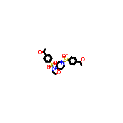 CC(=O)c1ccc([S+]([O-])N2CCC3(CC2)OCCN3S(=O)(=O)c2ccc(C(C)=O)cc2)cc1